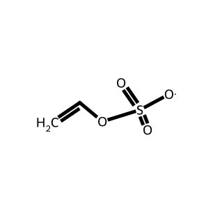 C=COS([O])(=O)=O